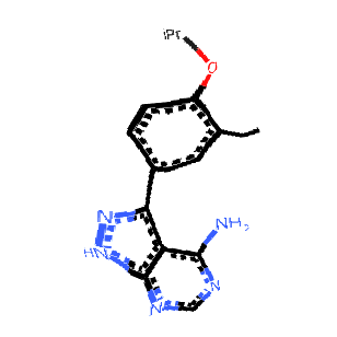 Cc1cc(-c2n[nH]c3ncnc(N)c23)ccc1OC(C)C